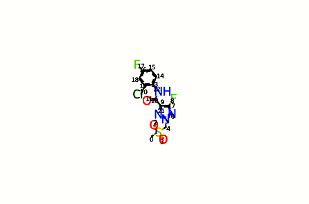 CS(=O)(=O)Cn1nc(F)c(C(=O)Nc2ccc(F)cc2Cl)n1